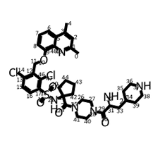 Cc1cc(C)c2cccc(OCc3c(Cl)ccc(S(=O)(=O)NC4(C(=O)N5CCN(C(=O)[C@@H](N)CC6CCNCC6)CC5)CCCC4)c3Cl)c2n1